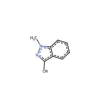 Cn1nc(C#N)c2ccccc21